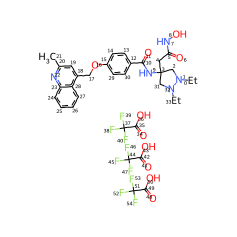 CCN1CC(CC(=O)NO)(NC(=O)c2ccc(OCc3cc(C)nc4ccccc34)cc2)CN1CC.O=C(O)C(F)(F)F.O=C(O)C(F)(F)F.O=C(O)C(F)(F)F